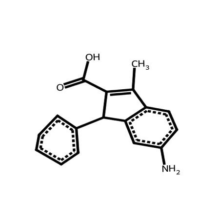 CC1=C(C(=O)O)C(c2ccccc2)c2cc(N)ccc21